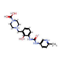 Cc1ccc(NC(=O)Nc2cccc(CN3CCN(C(=O)O)CC3)c2O)cn1